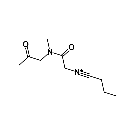 CCCC#[N+]CC(=O)N(C)CC(C)=O